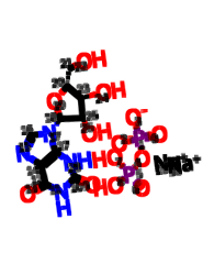 O=P([O-])([O-])OP(=O)(O)O.O=c1[nH]c(=O)c2ncn([C@@H]3O[C@H](CO)[C@@H](O)[C@H]3O)c2[nH]1.[Na+].[Na+]